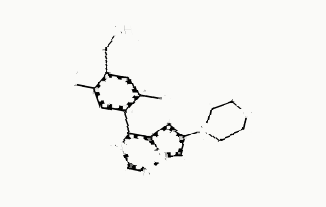 NCc1cc(F)c(-c2ncnn3cc(N4CCOCC4)cc23)cc1Cl